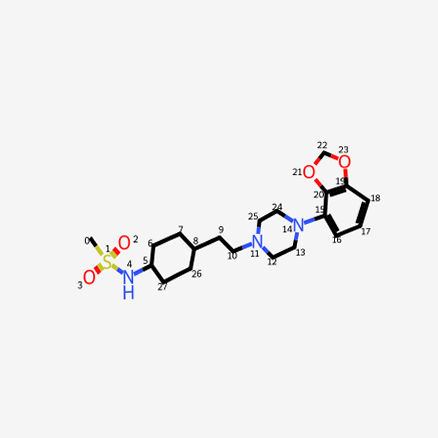 CS(=O)(=O)NC1CCC(CCN2CCN(c3cccc4c3OCO4)CC2)CC1